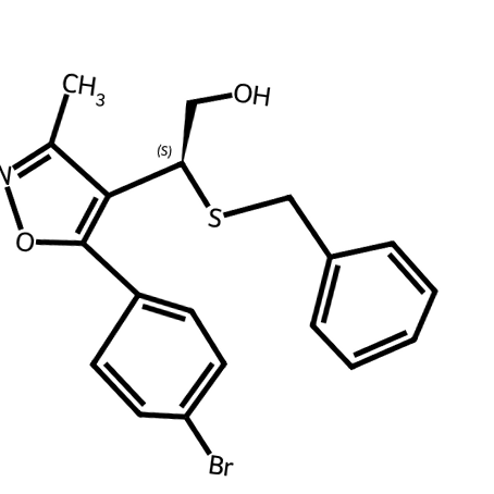 Cc1noc(-c2ccc(Br)cc2)c1[C@@H](CO)SCc1ccccc1